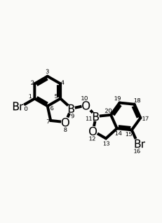 Brc1cccc2c1COB2OB1OCc2c(Br)cccc21